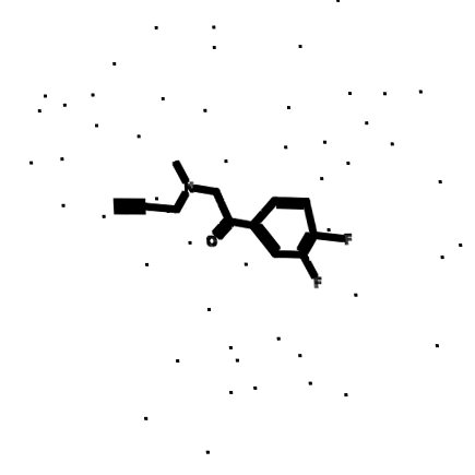 C#CCN(C)CC(=O)c1ccc(F)c(F)c1